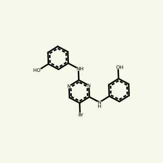 Oc1cccc(Nc2ncc(Br)c(Nc3cccc(O)c3)n2)c1